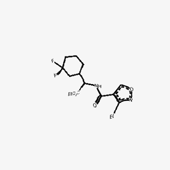 CCOC(=O)C(NC(=O)c1conc1CC)C1CCCC(F)(F)C1